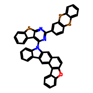 c1ccc2c(c1)Sc1ccc(-c3nc(-n4c5ccccc5c5cc6c(ccc7oc8ccccc8c76)cc54)c4c(n3)sc3ccccc34)cc1S2